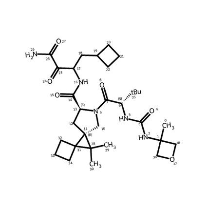 CC1(NC(=O)N[C@H](C(=O)N2C[C@]3(C[C@H]2C(=O)NC(CC2CCC2)C(=O)C(N)=O)C(C)(C)C32CCC2)C(C)(C)C)COC1